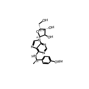 COc1ccc([C@@H](C)Nc2ncnc3c2ncn3[C@@H]2O[C@H](CO)[C@H](O)C2O)cc1